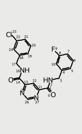 O=C(NCc1cccc(F)c1)c1cc(C(=O)NCc2cccc(Cl)c2)ncn1